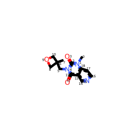 Cn1c(=O)n(CC2(C)COC2)c(=O)c2cnccc21